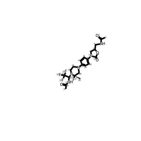 CC(=O)NCC1CN(c2ccc(N3CCN(C(NC(C)=O)C(F)(F)F)[C@@](C)(F)C3)cc2)C(=O)O1